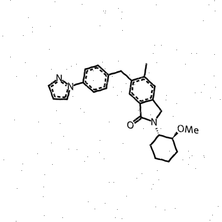 CO[C@H]1CCCC[C@@H]1N1Cc2cc(C)c(Cc3ccc(-n4cccn4)cc3)cc2C1=O